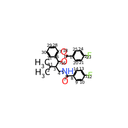 CC(C)C(CNC(=O)c1ccc(F)cc1)C(OC(=O)c1ccc(F)cc1)c1ccccc1